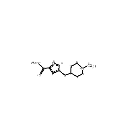 COC(=O)c1cc(CC2CCN(C(=O)O)CC2)no1